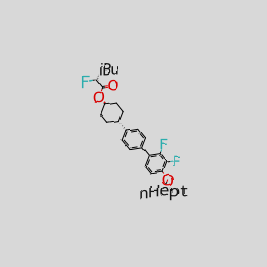 CCCCCCCOc1ccc(-c2ccc([C@H]3CC[C@H](OC(=O)[C@@H](F)[C@@H](C)CC)CC3)cc2)c(F)c1F